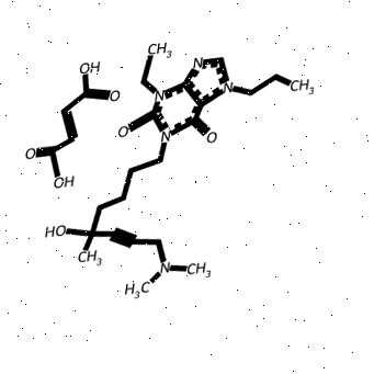 CCCn1cnc2c1c(=O)n(CCCCC(C)(O)C#CCN(C)C)c(=O)n2CC.O=C(O)C=CC(=O)O